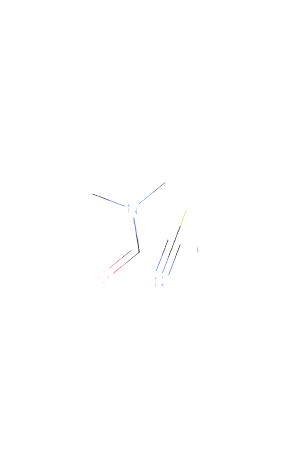 CN(C)C=O.N#C[S-].[K+]